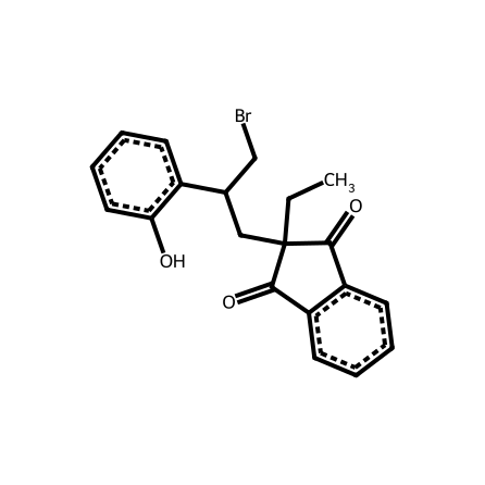 CCC1(CC(CBr)c2ccccc2O)C(=O)c2ccccc2C1=O